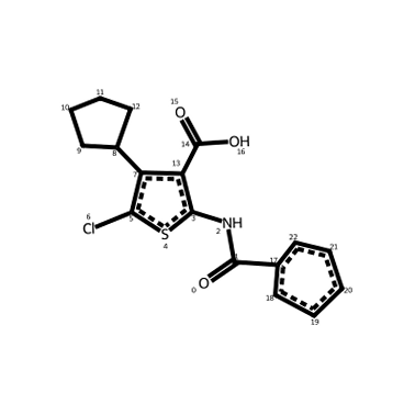 O=C(Nc1sc(Cl)c(C2CCCC2)c1C(=O)O)c1ccccc1